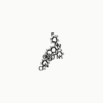 O=C(c1ccccn1)[C@]12Cc3cnn(-c4ccc(F)cc4)c3C=C1CCN(S(=O)(=O)c1ccc(Cl)nc1)C2